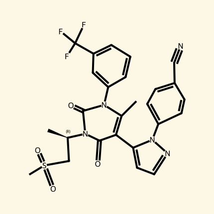 Cc1c(-c2ccnn2-c2ccc(C#N)cc2)c(=O)n([C@H](C)CS(C)(=O)=O)c(=O)n1-c1cccc(C(F)(F)F)c1